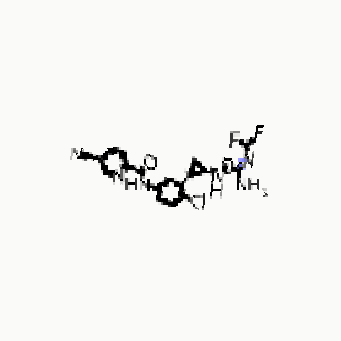 N#Cc1ccc(C(=O)Nc2ccc(Cl)c([C@H]3C[C@H]3NO/C(N)=N\C(F)F)c2)nc1